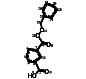 O=C(O)c1cccc(C(=O)OOCc2ccccc2)c1